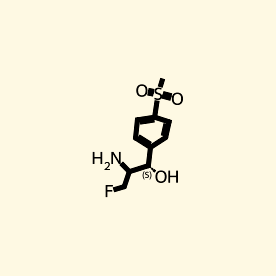 CS(=O)(=O)c1ccc([C@H](O)C(N)CF)cc1